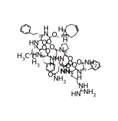 CC(C)C[C@H](NC(=O)[C@H](CCc1ccccc1)NC(=O)OC[C@H]1[C@@H]2CCC#CCC[C@@H]21)C(=O)N[C@@H](Cc1ccccc1)C(=O)N[C@@H](CCC(N)=O)C(=O)N1CCC[C@H]1C(=O)N[C@@H](CCC(N)=O)C(=O)N[C@@H](CCCNC(=N)N)C(=O)N[C@@H](Cc1ccccc1)C(N)=O